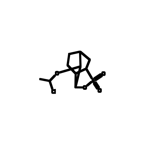 CC(Cl)OC1C2CCC3C1OS(=O)(=O)C3C2